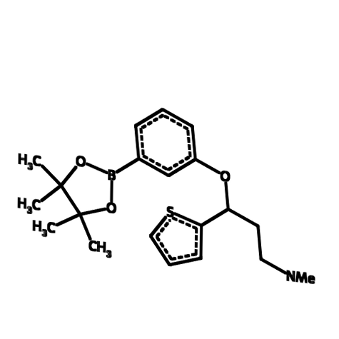 CNCCC(Oc1cccc(B2OC(C)(C)C(C)(C)O2)c1)c1cccs1